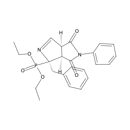 CCOP(=O)(OCC)[C@@]1(Cc2ccccc2)N=C[C@H]2C(=O)N(c3ccccc3)C(=O)[C@H]21